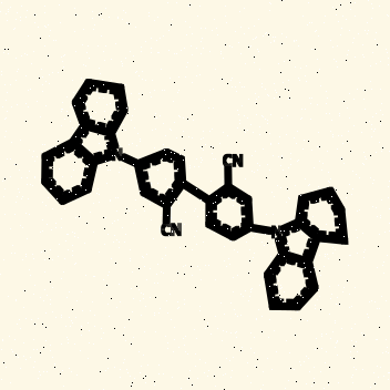 N#Cc1cc(-n2c3ccccc3c3ccccc32)ccc1-c1ccc(-n2c3ccccc3c3ccccc32)cc1C#N